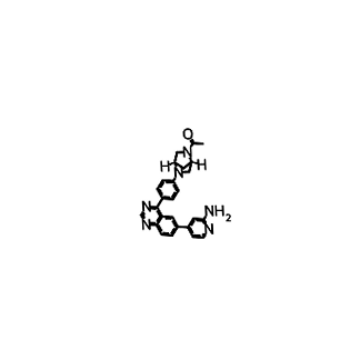 CC(=O)N1C[C@@H]2C[C@H]1CN2c1ccc(-c2ncnc3ccc(-c4ccnc(N)c4)cc23)cc1